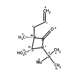 C=CC[C@@]1(C)C(=O)N([Si](C)(C)C(C)(C)C)[C@@H]1C(=O)O